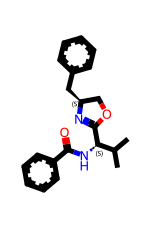 CC(C)[C@H](NC(=O)c1ccccc1)C1=N[C@@H](Cc2ccccc2)CO1